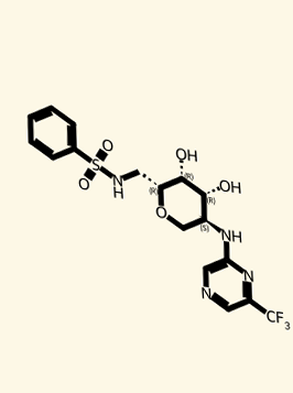 O=S(=O)(NC[C@H]1OC[C@H](Nc2cncc(C(F)(F)F)n2)[C@@H](O)[C@H]1O)c1ccccc1